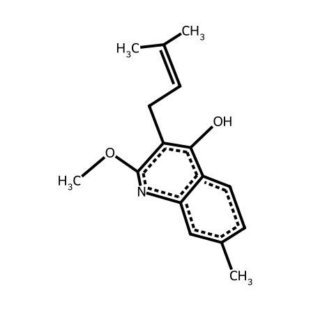 COc1nc2cc(C)ccc2c(O)c1CC=C(C)C